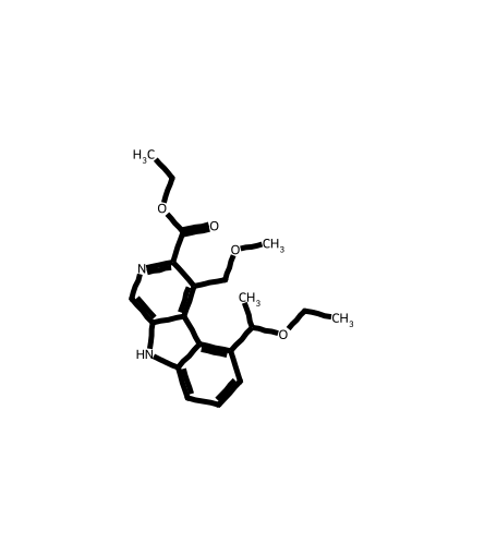 CCOC(=O)c1ncc2[nH]c3cccc(C(C)OCC)c3c2c1COC